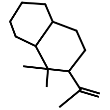 C=C(C)C1CCC2CCCCC2C1(C)C